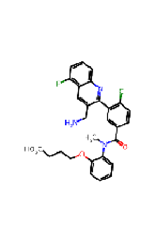 CN(C(=O)c1ccc(Cl)c(-c2nc3cccc(F)c3cc2CN)c1)c1ccccc1OCCCC(=O)O